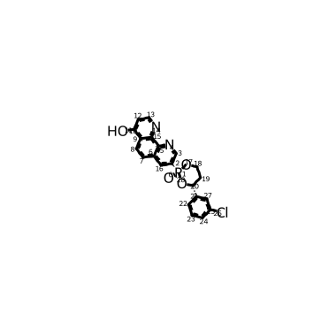 O=[P@@]1(c2cnc3c(ccc4c(O)ccnc43)c2)OCC[C@H](c2cccc(Cl)c2)O1